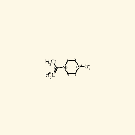 C=C(C)N1CC[S+]([O-])CC1